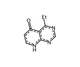 CCc1ncnc2[nH]ccc(=O)c12